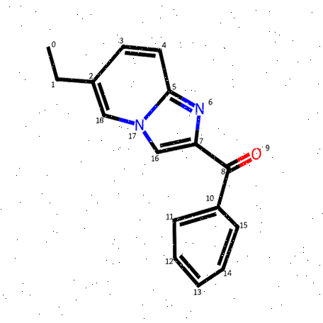 CCc1ccc2nc(C(=O)c3ccccc3)cn2c1